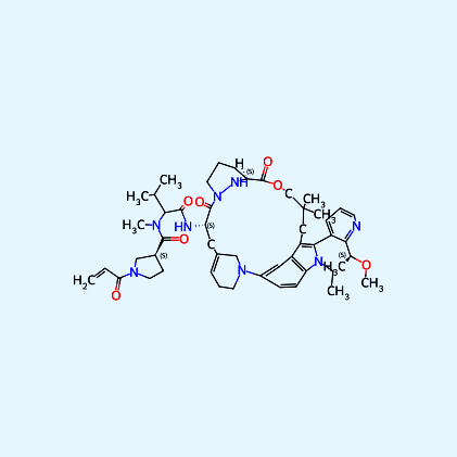 C=CC(=O)N1CC[C@H](C(=O)N(C)C(C(=O)N[C@H]2CC3=CCCN(C3)c3ccc4c(c3)c(c(-c3cccnc3[C@H](C)OC)n4CC)CC(C)(C)COC(=O)[C@@H]3CCCN(N3)C2=O)C(C)C)C1